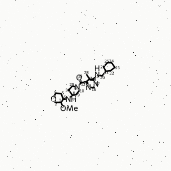 COC1COCCC1NC1CCN(C(=O)c2ncnc(NCC3CCCCC3)c2C)CC1